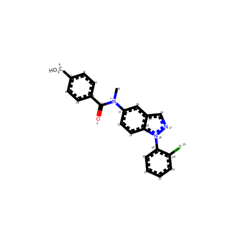 CN(C(=O)c1ccc(C(=O)O)cc1)c1ccc2c(cnn2-c2ccccc2F)c1